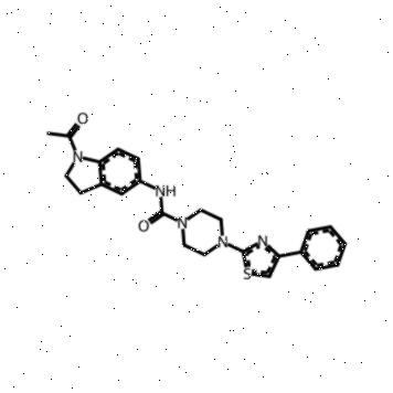 CC(=O)N1CCc2cc(NC(=O)N3CCN(c4nc(-c5ccccc5)cs4)CC3)ccc21